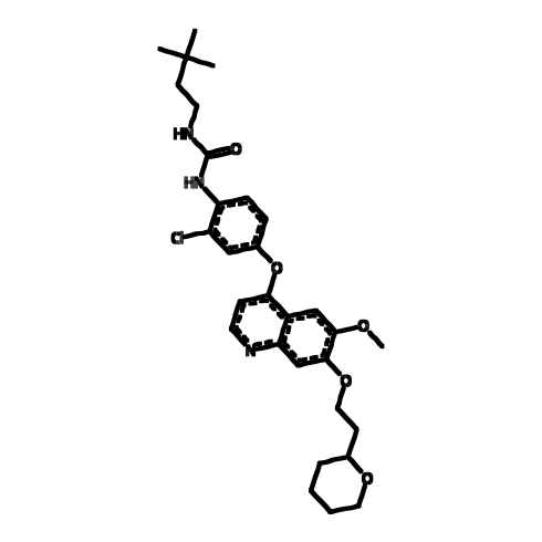 COc1cc2c(Oc3ccc(NC(=O)NCCC(C)(C)C)c(Cl)c3)ccnc2cc1OCCC1CCCCO1